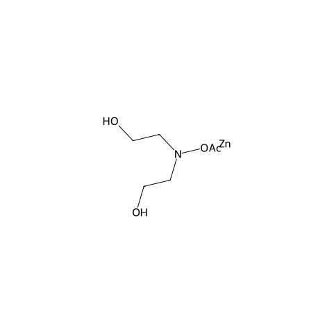 CC(=O)ON(CCO)CCO.[Zn]